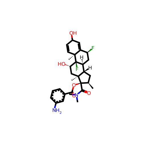 C[C@@H]1C[C@H]2[C@@H]3C[C@H](F)C4=CC(O)C=C[C@]4(C)[C@@]3(F)[C@@H](O)C[C@]2(C)[C@@]1(OC(=O)c1cccc(N)c1)C(=O)N(C)C